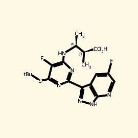 C[C@H](Nc1nc(-c2n[nH]c3ncc(F)cc23)nc(SC(C)(C)C)c1F)[C@H](C)C(=O)O